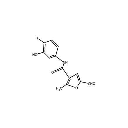 Cc1oc(C=O)cc1C(=O)Nc1ccc(F)c(C#N)c1